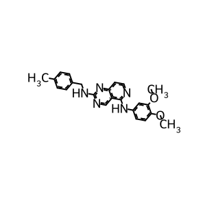 COc1ccc(Nc2nccc3nc(NCc4ccc(C)cc4)ncc23)cc1OC